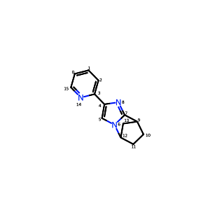 c1ccc(-c2cn3c(n2)C2CCC3C2)nc1